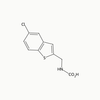 O=C(O)NCc1cc2cc(Cl)ccc2s1